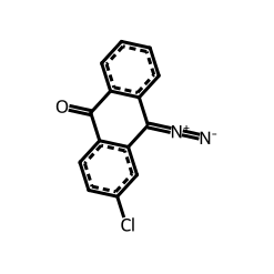 [N-]=[N+]=C1c2ccccc2C(=O)c2ccc(Cl)cc21